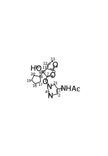 [CH2]C(=O)NC1=CN=CN(OC(=O)[C@](O)(c2ccoc2)C2CCCC2)C1